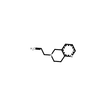 C=CCN1CCc2ncccc2C1